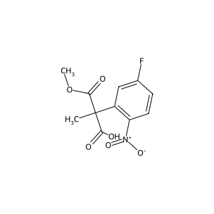 COC(=O)C(C)(C(=O)O)c1cc(F)ccc1[N+](=O)[O-]